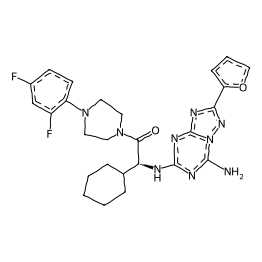 Nc1nc(N[C@H](C(=O)N2CCN(c3ccc(F)cc3F)CC2)C2CCCCC2)nc2nc(-c3ccco3)nn12